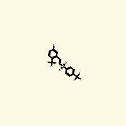 O=S(=O)(C=Cc1cc(F)ccc1C(F)(F)F)c1ccc(C(F)(F)F)cc1